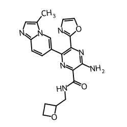 Cc1cnc2ccc(-c3nc(C(=O)NCC4CCO4)c(N)nc3-c3ncco3)cn12